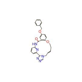 O=C1Nc2cccc(n2)-c2nncn2C/C=C/CCOc2ccc(OCc3ccccc3)cc21